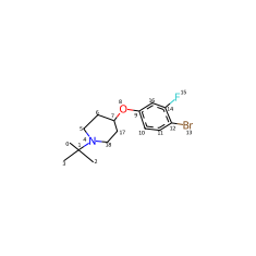 CC(C)(C)N1CCC(Oc2ccc(Br)c(F)c2)CC1